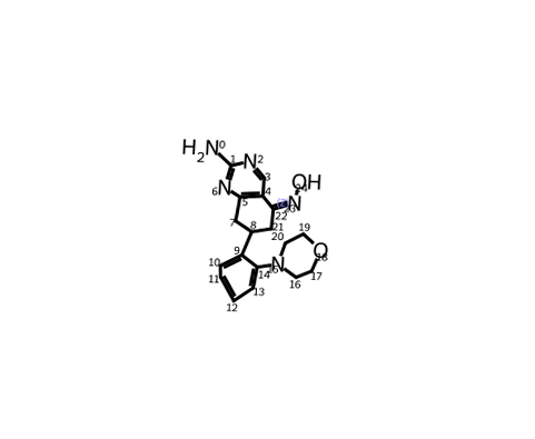 Nc1ncc2c(n1)CC(c1ccccc1N1CCOCC1)C/C2=N/O